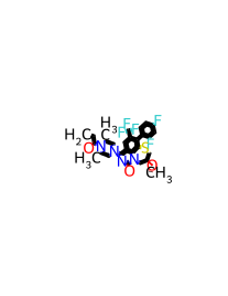 C=CC(=O)N1[C@H](C)CN(c2nc(=O)n3c4c(c(-c5ccc(F)cc5F)c(C(F)(F)F)cc24)SC[C@@H](OC)C3)C[C@@H]1C